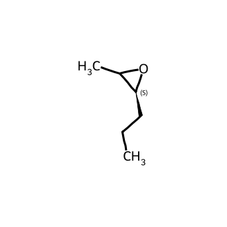 CCC[C@@H]1OC1C